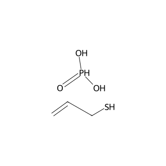 C=CCS.O=[PH](O)O